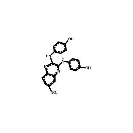 O=[N+]([O-])c1ccc2nc(Nc3ccc(O)cc3)c(Nc3ccc(O)cc3)nc2c1